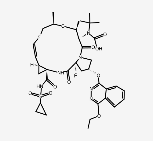 CCOc1nnc(O[C@@H]2C[C@H]3C(=O)N[C@]4(C(=O)NS(=O)(=O)C5CC5)C[C@H]4/C=C\CC[C@@H](C)C[C@@H](C)[C@H](N(C(=O)O)C(C)(C)C)C(=O)N3C2)c2ccccc12